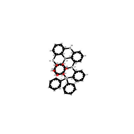 c1ccc([Si]2(c3ccccc3)c3ccccc3N(c3cccc4c3B3c5ccccc5Sc5cccc(c53)S4)c3ccccc32)cc1